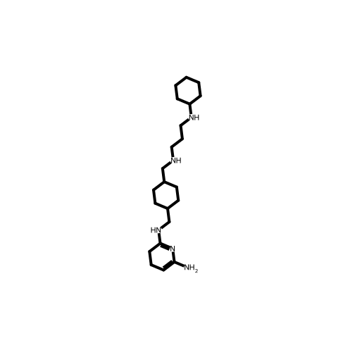 NC1=CCCC(NCC2CCC(CNCCCNC3CCCCC3)CC2)=N1